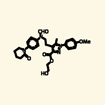 COc1ccc(-n2nc(C(=O)OCCO)c(CCN(C=O)c3ccc(N4CCCCC4=O)cc3)c2C)cc1